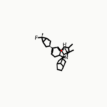 CC1CC[C@H](C2CC3CCC(C2)C3C2=NC(C)NC3=CC([C@H]4CC5C(C4)[C@@]5(C)F)=CCC32)C1